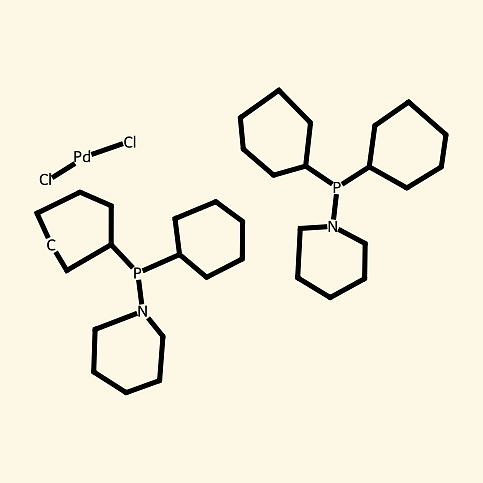 C1CCC(P(C2CCCCC2)N2CCCCC2)CC1.C1CCC(P(C2CCCCC2)N2CCCCC2)CC1.[Cl][Pd][Cl]